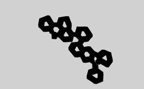 c1ccc(-n2c3ccccc3c3cc4c(-c5ccccc5-c5ccc6c7c(cccc57)-c5ccccc5S6)cccc4cc32)cc1